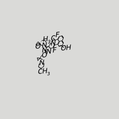 CCc1c(F)ccc2cc(O)cc(-c3ncc4c(N5CCC[C@]6(CCO6)C5)nc(OCC5(CN6CCC(C)CC6)CC5)nc4c3F)c12